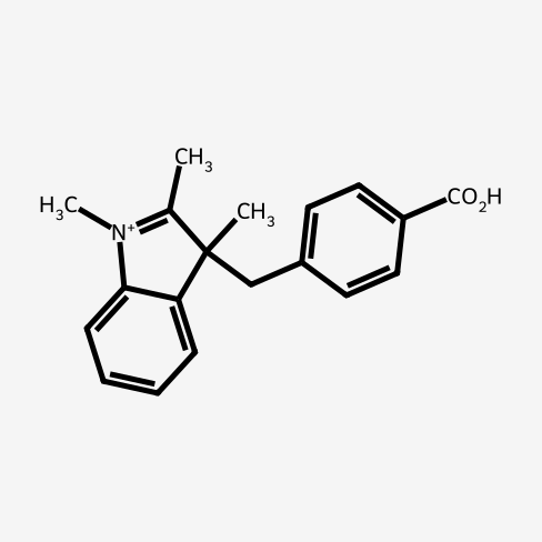 CC1=[N+](C)c2ccccc2C1(C)Cc1ccc(C(=O)O)cc1